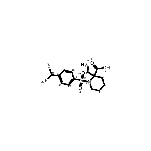 CCC1(C(=O)O)CCCCN1S(=O)(=O)c1ccc(C(F)F)cc1